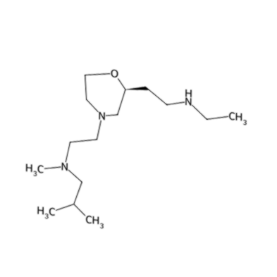 CCNCC[C@H]1CN(CCN(C)CC(C)C)CCO1